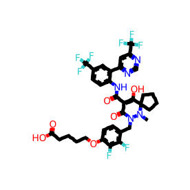 CN1N(Cc2ccc(OCCCCC(=O)O)c(F)c2F)C(=O)C(C(=O)Nc2ccc(C(F)(F)F)cc2-c2cc(C(F)(F)F)ncn2)=C(O)C12CCCC2